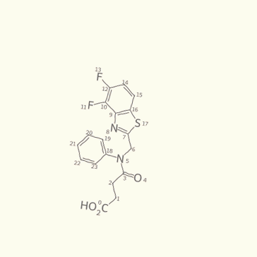 O=C(O)CCC(=O)N(Cc1nc2c(F)c(F)ccc2s1)c1ccccc1